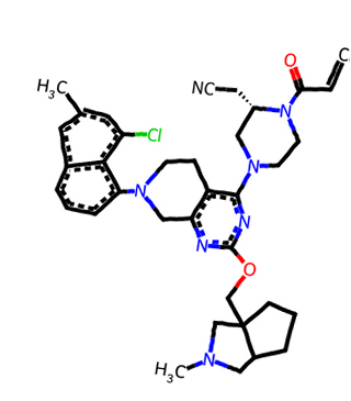 C=CC(=O)N1CCN(c2nc(OCC34CCCC3CN(C)C4)nc3c2CCN(c2cccc4cc(C)cc(Cl)c24)C3)C[C@@H]1CC#N